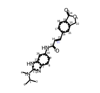 CC(C)N(C)c1nc2ccc(NC(=O)/C=C/c3ccc4c(c3)COC4=O)cc2[nH]1